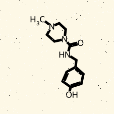 CN1CCN(C(=O)NCc2ccc(O)cc2)CC1